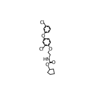 O=C(NCCOc1ccc(Oc2cccc(Cl)c2)cc1Cl)OC1CCCC1